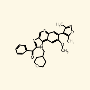 COc1cc2c(cc1-c1c(C)noc1C)ncc1nc(C(=O)c3ccccc3)n(CC3CCOCC3)c12